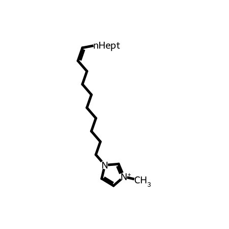 CCCCCCC/C=C\CCCCCCCCn1cc[n+](C)c1